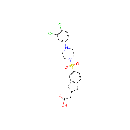 O=C(O)CC1Cc2ccc(S(=O)(=O)N3CCN(c4ccc(Cl)c(Cl)c4)CC3)cc2C1